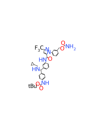 CC(C)(C)OC(=O)Nc1ccc(C(NCC2CC2)c2cccc(NC(=O)c3cc(C(F)(F)F)nn3-c3cccc(COC(N)=O)c3)c2)cc1